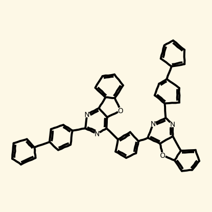 c1ccc(-c2ccc(-c3nc(-c4cccc(-c5nc(-c6ccc(-c7ccccc7)cc6)nc6c5oc5ccccc56)c4)c4oc5ccccc5c4n3)cc2)cc1